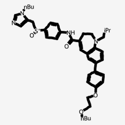 CCCCOCCOc1ccc(-c2ccc3c(c2)C=C(C(=O)Nc2ccc([S+]([O-])Cc4cncn4CCCC)cc2)CCN3CC(C)C)cc1